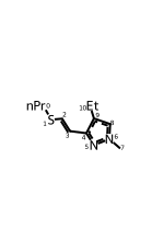 CCCSC=Cc1nn(C)cc1CC